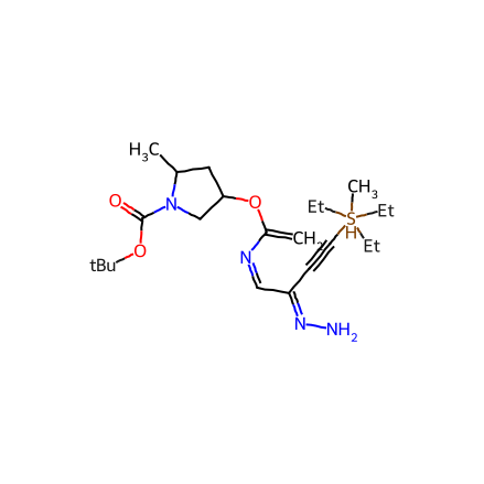 C=C(/N=C\C(C#C[SH](C)(CC)(CC)CC)=N\N)OC1CC(C)N(C(=O)OC(C)(C)C)C1